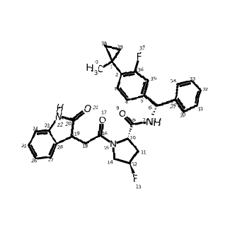 CC1(c2ccc([C@@H](NC(=O)[C@@H]3C[C@@H](F)CN3C(=O)CC3C(=O)Nc4ccccc43)c3ccccc3)cc2F)CC1